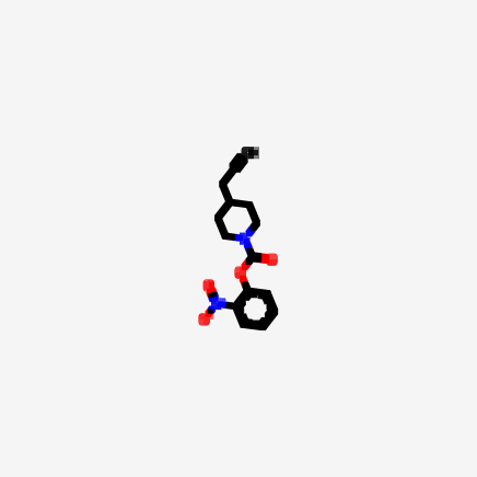 C#CCC1CCN(C(=O)Oc2ccccc2[N+](=O)[O-])CC1